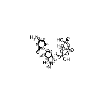 [N-]=[N+]=N[C@]1(COP(=O)(O)OP(=O)(O)OP(=O)(O)O)O[C@@H](n2ccc(N)nc2=O)[C@@H](F)[C@@H]1O